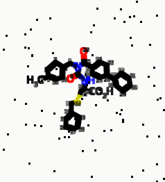 Cc1ccc(CN(C(=O)N[C@@H](CSCc2ccccc2)C(=O)O)C(=O)c2ccc(-c3ccccc3)cc2)cc1